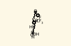 O=[PH](O)OCCCNCc1ccc(SCCCCC2(c3ccc(F)cc3)COC2)c(OC(F)(F)F)c1